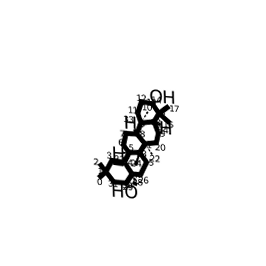 CC1(C)C=C2[C@H]3CC[C@@H]4[C@@]5(C)CC[C@H](O)C(C)(C)[C@@H]5CC[C@@]4(C)[C@]3(C)CC[C@@]2(CO)CC1